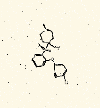 CN1CCC(C(=O)O)(S(=O)(=O)c2ccccc2Oc2ccc(Cl)cc2)CC1